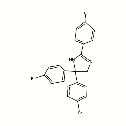 Clc1ccc(C2=NCC(c3ccc(Br)cc3)(c3ccc(Br)cc3)N2)cc1